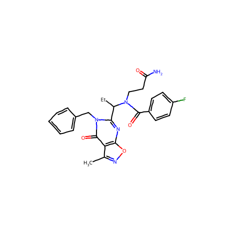 CCC(c1nc2onc(C)c2c(=O)n1Cc1ccccc1)N(CCC(N)=O)C(=O)c1ccc(F)cc1